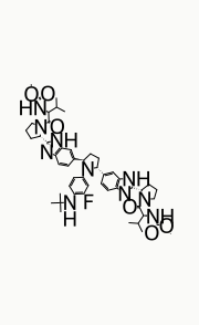 COC(=O)N[C@H](C(=O)N1CCC[C@H]1c1nc2ccc([C@H]3CC[C@H](c4ccc5nc([C@@H]6CCCN6C(=O)[C@@H](NC(=O)OC)C(C)C)[nH]c5c4)N3c3ccc(NC(C)(C)C)c(F)c3)cc2[nH]1)C(C)C